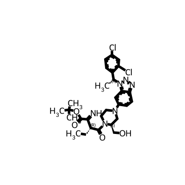 CC[C@H](C(=N)C(=O)OC(C)(C)C)C(=O)N1CCN(c2ccc3nnn([C@H](C)c4ccc(Cl)cc4Cl)c3c2)C[C@H]1CO